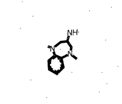 CN1CC([NH])CN(C)c2ccccc21